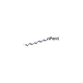 [CH]=C/C=C/C=C/C=C/C=C/CCCCC